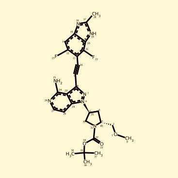 COC[C@H]1C[C@H](n2nc(C#Cc3c(F)cc4nc(C)[nH]c4c3F)c3c(N)nccc32)CN1C(=O)OC(C)(C)C